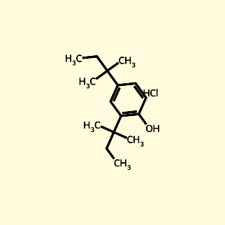 CCC(C)(C)c1ccc(O)c(C(C)(C)CC)c1.Cl